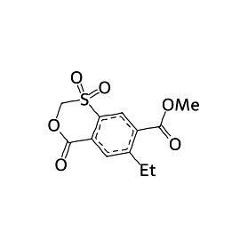 CCc1cc2c(cc1C(=O)OC)S(=O)(=O)COC2=O